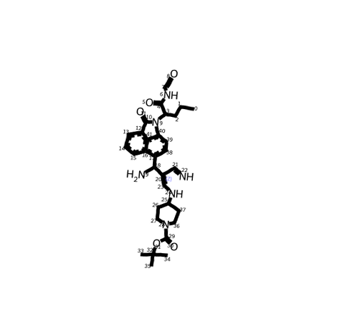 CCCC(C(=O)NC=O)N1C(=O)c2cccc3c(C(N)/C(C=N)=C/NC4CCN(C(=O)OC(C)(C)C)CC4)ccc1c23